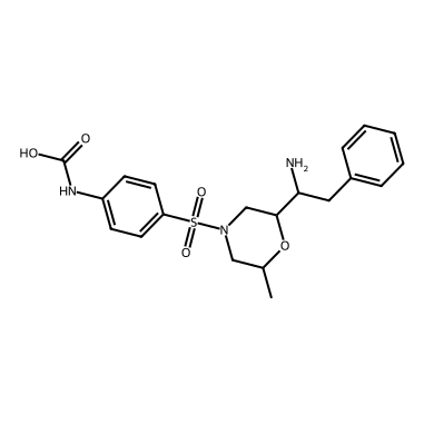 CC1CN(S(=O)(=O)c2ccc(NC(=O)O)cc2)CC(C(N)Cc2ccccc2)O1